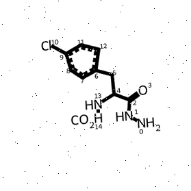 NNC(=O)C(Cc1ccc(Cl)cc1)NC(=O)O